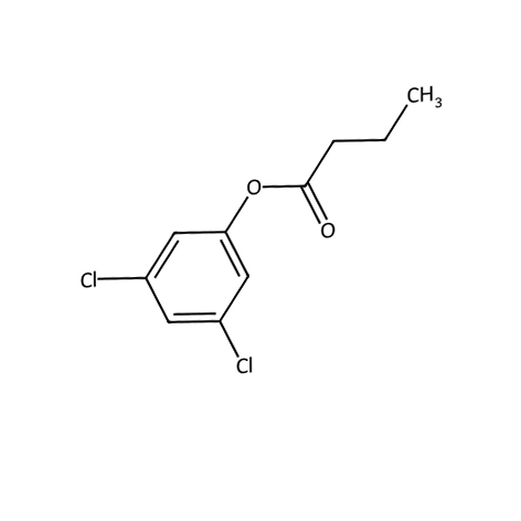 CCCC(=O)Oc1cc(Cl)cc(Cl)c1